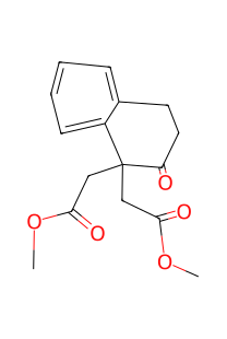 COC(=O)CC1(CC(=O)OC)C(=O)CCc2ccccc21